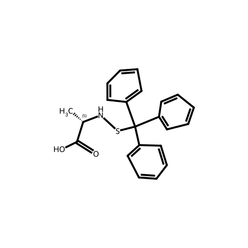 C[C@H](NSC(c1ccccc1)(c1ccccc1)c1ccccc1)C(=O)O